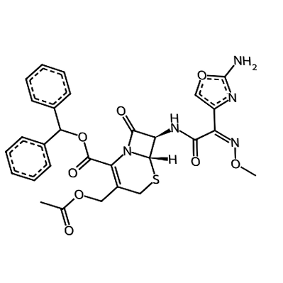 CO/N=C(\C(=O)N[C@@H]1C(=O)N2C(C(=O)OC(c3ccccc3)c3ccccc3)=C(COC(C)=O)CS[C@@H]12)c1coc(N)n1